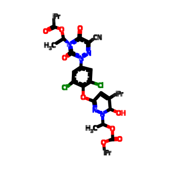 CC(C)OC(=O)OC(C)N1N=C(Oc2c(Cl)cc(-n3nc(C#N)c(=O)n(C(C)OC(=O)C(C)C)c3=O)cc2Cl)C=C(C(C)C)C1O